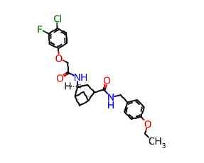 CCOc1ccc(CNC(=O)C2C[C@H](NC(=O)COc3ccc(Cl)c(F)c3)C3CC2C3)cc1